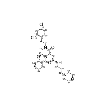 O=C(CC1C(=O)N(CCc2ccc(Cl)cc2Cl)CC(=O)N1Cc1ccncc1)NCCCN1CCOCC1